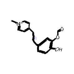 C[n+]1ccc(/C=C/c2ccc(O)c(OC=O)c2)cc1